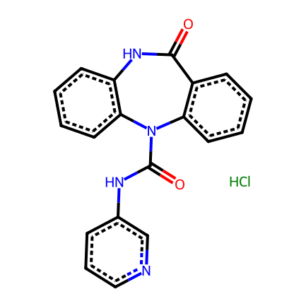 Cl.O=C1Nc2ccccc2N(C(=O)Nc2cccnc2)c2ccccc21